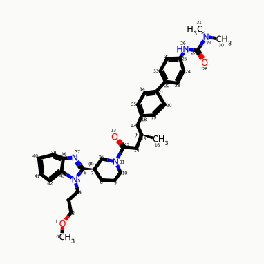 COCCCn1c([C@@H]2CCCN(C(=O)C[C@H](C)Cc3ccc(-c4ccc(NC(=O)N(C)C)cc4)cc3)C2)nc2ccccc21